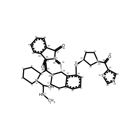 CNC(O)N1CCCC[C@H]1C(=O)N1CCc2cccc(O[C@H]3CCN(C(=O)c4cncs4)C3)c2[C@H]1C=[N+]1C(=O)c2ccccc2C1=O